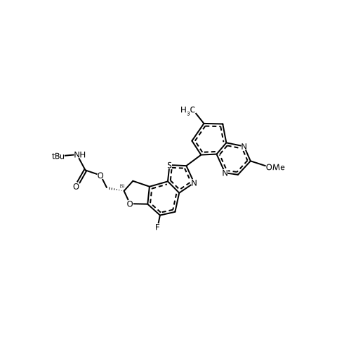 COc1cnc2c(-c3nc4cc(F)c5c(c4s3)C[C@@H](COC(=O)NC(C)(C)C)O5)cc(C)cc2n1